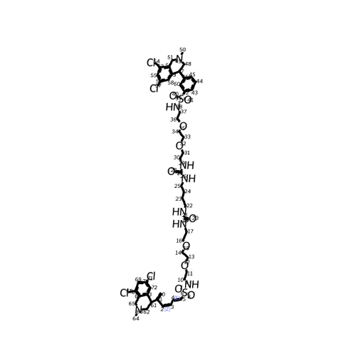 C=C(/C=C\C=C\S(=O)(=O)NCCOCCOCCNC(=O)NCCCCNC(=O)NCCOCCOCCNS(=O)(=O)c1cccc(C2CN(C)Cc3c(Cl)cc(Cl)cc32)c1)C1CN(C)Cc2c(Cl)cc(Cl)cc21